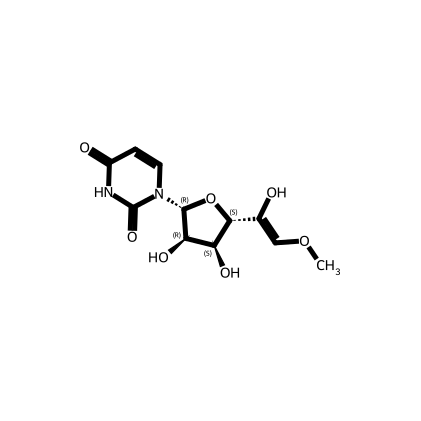 COC=C(O)[C@H]1O[C@@H](n2ccc(=O)[nH]c2=O)[C@H](O)[C@@H]1O